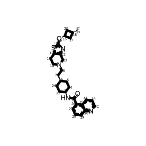 O=C(N[C@H]1CC[C@H](CCN2CCc3sc(O[C@H]4C[C@@H](F)C4)nc3C2)CC1)c1cccc2ncccc12